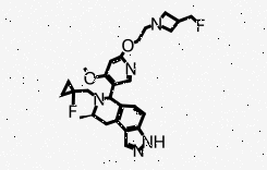 COc1cc(OCCN2CC(CF)C2)ncc1C1c2ccc3[nH]ncc3c2C[C@@H](C)N1CC1(F)CC1